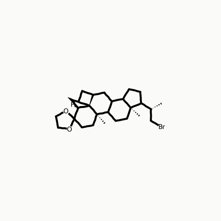 C[C@H](CBr)C1CCC2C3CC4CC5C[C@H]6C7(CC[C@](C)(C3CC[C@@]21C)[C@@]456)OCCO7